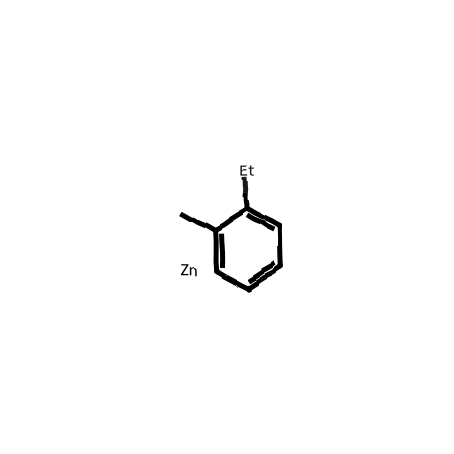 CCc1ccccc1C.[Zn]